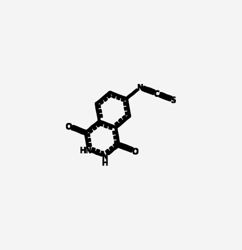 O=c1[nH][nH]c(=O)c2cc(N=C=S)ccc12